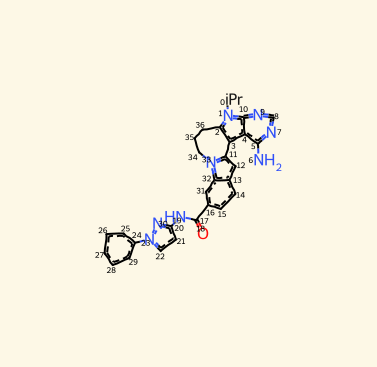 CC(C)n1c2c(c3c(N)ncnc31)-c1cc3ccc(C(=O)Nc4ccn(-c5ccccc5)n4)cc3n1CCC2